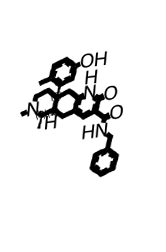 Cc1ccc(O)cc1[C@]12CCN(C)[C@H](C)[C@@H]1Cc1cc(C(=O)NCc3ccccc3)c(=O)[nH]c1C2